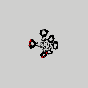 c1ccc(OP2(Oc3ccccc3)=N[PH](Oc3ccccc3)(Oc3ccccc3)N[PH](Oc3ccccc3)(Oc3ccccc3)N[PH](Oc3ccccc3)(Oc3ccccc3)N2)cc1